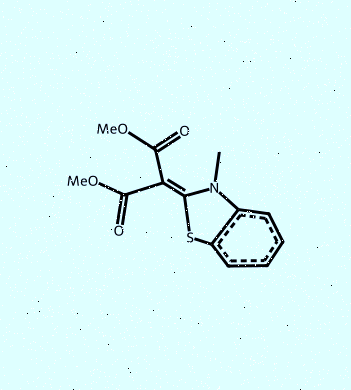 COC(=O)C(C(=O)OC)=C1Sc2ccccc2N1C